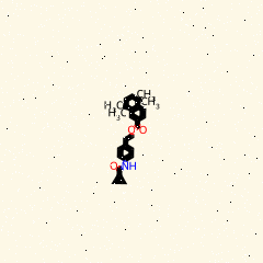 CC1(C)CCC(C)(C)c2cc(C(=O)OCCc3ccc(NC(=O)C4CC4)cc3)ccc21